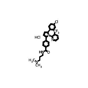 CN(C)CCCNC(=O)c1ccc(-c2ccc(-c3ccc(Cl)cc3)n2-c2ncccc2C(F)(F)F)cc1.Cl